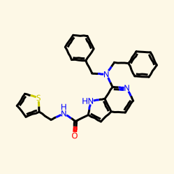 O=C(NCc1cccs1)c1cc2ccnc(N(Cc3ccccc3)Cc3ccccc3)c2[nH]1